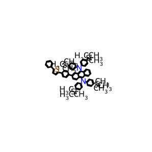 C[Si](C)(C)c1ccc(N(c2ccc([Si](C)(C)C)cc2)c2c3ccccc3c(N(c3ccc([Si](C)(C)C)cc3)c3ccc([Si](C)(C)C)cc3)c3cc(-c4ccc(-c5ccc(-c6ccccc6)s5)cc4)ccc23)cc1